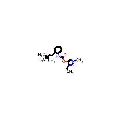 CCc1nn(C)cc1OC(=O)Nc1ccccc1CCC(C)(C)C